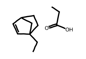 CCC(=O)O.CCC12C=CC(CC1)C2